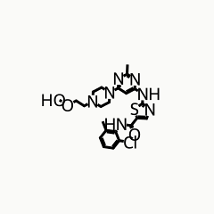 Cc1nc(Nc2ncc(C(=O)Nc3c(C)cccc3Cl)s2)cc(N2CCN(CCOO)CC2)n1